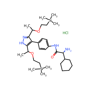 CC(OCC[Si](C)(C)C)c1n[nH]c(C(C)OCC[Si](C)(C)C)c1-c1ccc(NC(=O)[C@@H](N)C2CCCCC2)cc1.Cl